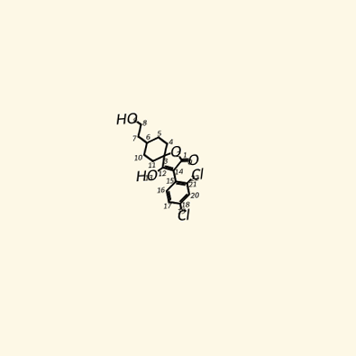 O=C1OC2(CCC(CCO)CC2)C(O)=C1c1ccc(Cl)cc1Cl